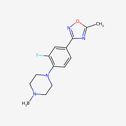 BN1CCN(c2ccc(-c3noc(C)n3)cc2F)CC1